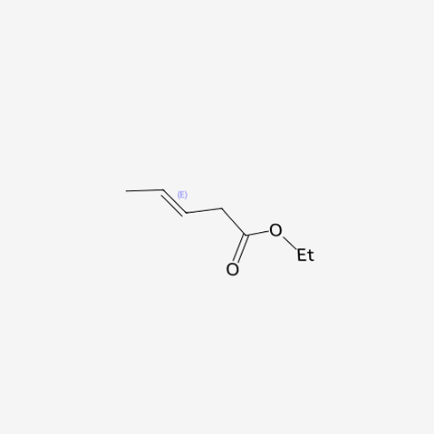 C/C=C/CC(=O)OCC